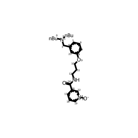 CCCCN(CCCC)Cc1cccc(OCCCNC(=O)c2ccc[n+]([O-])c2)c1